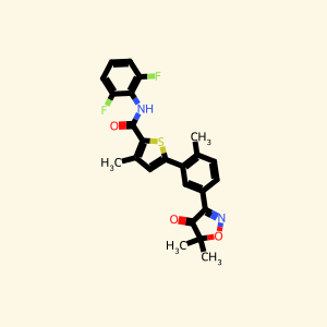 Cc1ccc(C2=NOC(C)(C)C2=O)cc1-c1cc(C)c(C(=O)Nc2c(F)cccc2F)s1